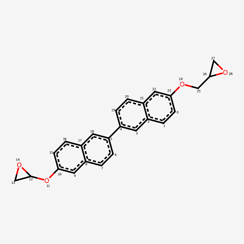 c1cc2cc(-c3ccc4cc(OC5CO5)ccc4c3)ccc2cc1OCC1CO1